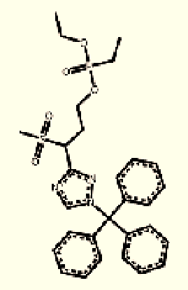 CCOP(=O)(CC)OCCC(c1ncn(C(c2ccccc2)(c2ccccc2)c2ccccc2)n1)S(C)(=O)=O